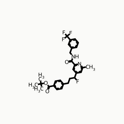 Cc1cc(C(F)CCc2ccc(C(=O)OC(C)(C)C)cc2)cc(C(=O)NCc2cccc(C(F)(F)F)c2)n1